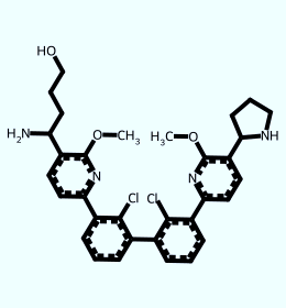 COc1nc(-c2cccc(-c3cccc(-c4ccc(C5CCCN5)c(OC)n4)c3Cl)c2Cl)ccc1C(N)CCCO